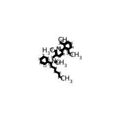 CCCCCCC(c1ccccc1)N(C)Cc1ccc(-c2c(CC)cccc2CC)nc1C